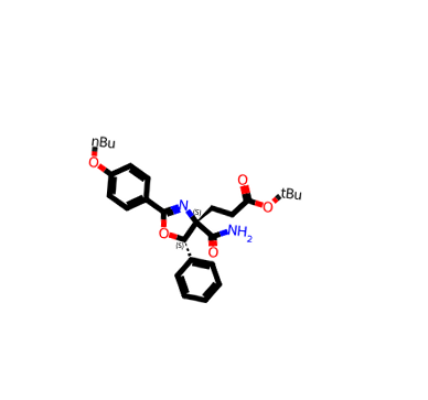 CCCCOc1ccc(C2=N[C@](CCC(=O)OC(C)(C)C)(C(N)=O)[C@H](c3ccccc3)O2)cc1